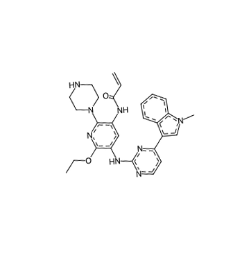 C=CC(=O)Nc1cc(Nc2nccc(-c3cn(C)c4ccccc34)n2)c(OCC)nc1N1CCNCC1